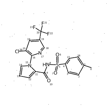 Cc1ccc(S(=O)(=O)NC(=O)c2cccn2-c2ncc(C(F)(F)F)cc2Cl)cc1